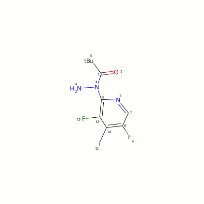 CC(C)(C)C(=O)N(N)c1ncc(F)c(I)c1F